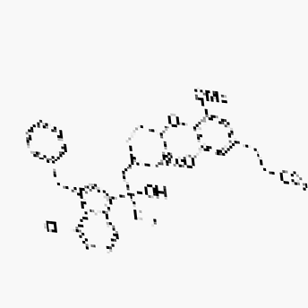 COc1cc(CCC(=O)O)cc(OC)c1OC1CCN(CC(O)(c2cn(Cc3ccccc3)c3c(Cl)cccc23)C(F)(F)F)CC1